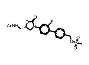 CC(=O)NC[C@H]1CN(c2ccc(-c3ccc(COS(C)(=O)=O)cc3)c(F)c2)C(=O)O1